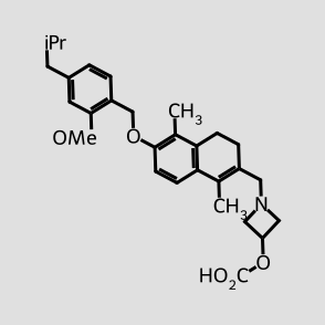 COc1cc(CC(C)C)ccc1COc1ccc2c(c1C)CCC(CN1CC(OC(=O)O)C1)=C2C